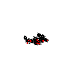 Cc1nc(-c2ccccc2)c(C)c(-c2ccc(N3c4ccccc4C(c4ccccc4)(c4ccc(C(c5ccccc5)C5c6ccccc6N(c6ccccc6)c6ccccc65)cc4)c4ccccc43)cc2)n1